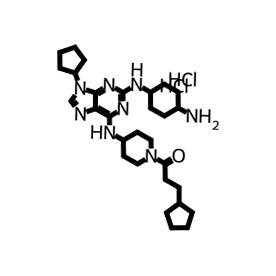 Cl.Cl.NC1CCC(Nc2nc(NC3CCN(C(=O)CCC4CCCC4)CC3)c3ncn(C4CCCC4)c3n2)CC1